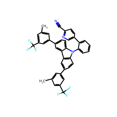 Cc1cc(-c2ccc3c(c2)c2cc(-c4cc(C)cc(C(F)(F)F)c4)ccc2n3-c2ccccc2-c2ccc(C#N)nc2)cc(C(F)(F)F)c1